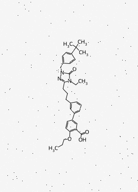 CCCOc1ccc(-c2cccc(CCCc3nn(Cc4ccc(C(C)(C)C)cc4)c(=O)n3CC)c2)cc1C(=O)O